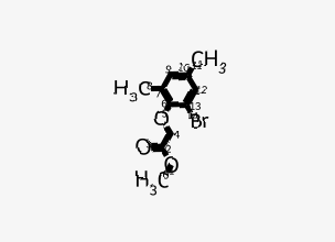 COC(=O)COc1c(C)cc(C)cc1Br